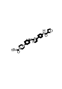 CC(C)(C)C(=O)N1CCN(c2ccc(Nc3nccc(-c4ccc(NC(=O)C5CCOC5)cc4)n3)cc2)CC1